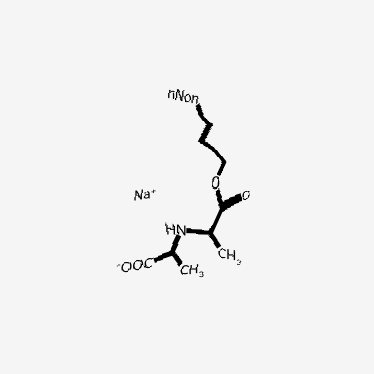 CCCCCCCCCCCCOC(=O)C(C)NC(C)C(=O)[O-].[Na+]